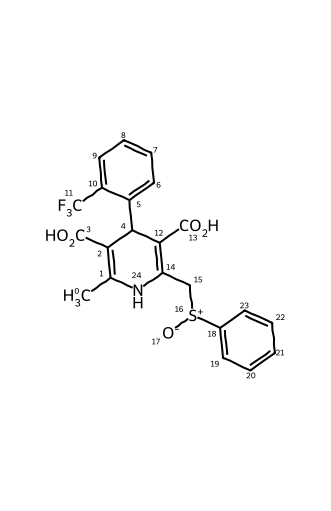 CC1=C(C(=O)O)C(c2ccccc2C(F)(F)F)C(C(=O)O)=C(C[S+]([O-])c2ccccc2)N1